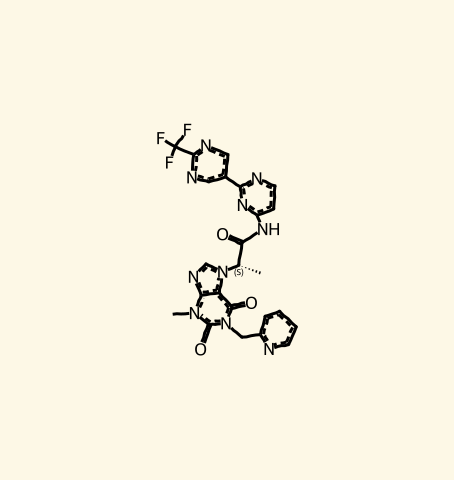 C[C@@H](C(=O)Nc1ccnc(-c2cnc(C(F)(F)F)nc2)n1)n1cnc2c1c(=O)n(Cc1ccccn1)c(=O)n2C